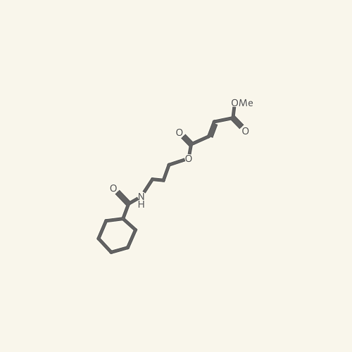 COC(=O)/C=C/C(=O)OCCCNC(=O)C1CCCCC1